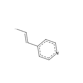 [CH2]C=Cc1ccncc1